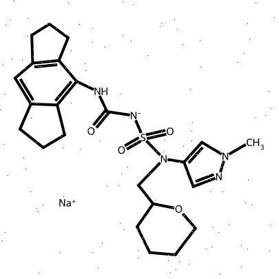 Cn1cc(N(CC2CCCCO2)S(=O)(=O)[N-]C(=O)Nc2c3c(cc4c2CCC4)CCC3)cn1.[Na+]